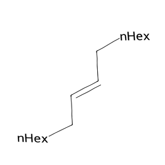 CCCCCCC/C=C/CCCCCCC